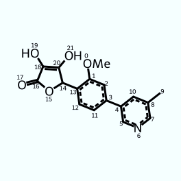 COc1cc(-c2cncc(C)c2)ccc1C1OC(=O)C(O)=C1O